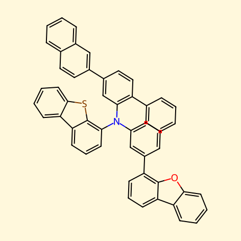 c1ccc(-c2ccc(-c3ccc4ccccc4c3)cc2N(c2cccc(-c3cccc4c3oc3ccccc34)c2)c2cccc3c2sc2ccccc23)cc1